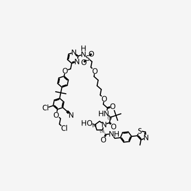 Cc1ncsc1-c1ccc(CNC(=O)[C@@H]2C[C@@H](O)CN2C(=O)[C@@H](NC(=O)COCCCCCOCCS(=O)(=O)Nc2nccc(COc3ccc(C(C)(C)c4cc(Cl)c(OCCCl)c(C#N)c4)cc3)n2)C(C)(C)C)cc1